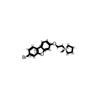 C[N+]1(CCOc2ccc3c(c2)oc2cc(Br)ccc23)CCCC1